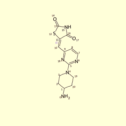 NC1CCN(c2nccc(/C=C3/SC(=O)NC3=O)n2)CC1